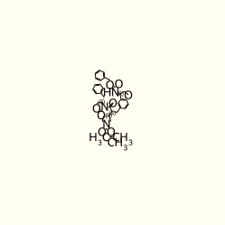 CC(C)(C)OC(=O)N1CC[C@H]([C@H](Cc2ccc3c(c2)[C@@H](NC(=O)OCc2ccccc2)CO3)C(=O)N2C(=O)OC[C@@H]2Cc2ccccc2)C1